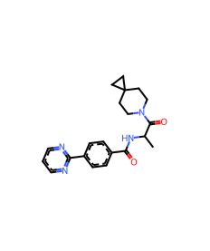 CC(NC(=O)c1ccc(-c2ncccn2)cc1)C(=O)N1CCC2(CC1)CC2